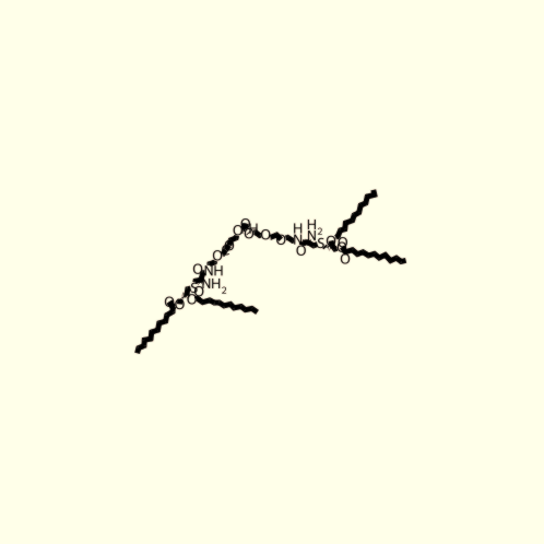 CCCCCCCCCCCC(=O)OC[C@H](CSC[C@H](N)C(=O)NCCOCCOCCO[PH](=O)OCCOCCOCCNC(=O)[C@@H](N)CSC[C@@H](COC(=O)CCCCCCCCCCC)OC(=O)CCCCCCCCCCC)OC(=O)CCCCCCCCCCC